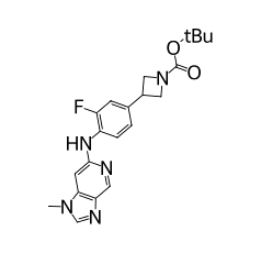 Cn1cnc2cnc(Nc3ccc(C4CN(C(=O)OC(C)(C)C)C4)cc3F)cc21